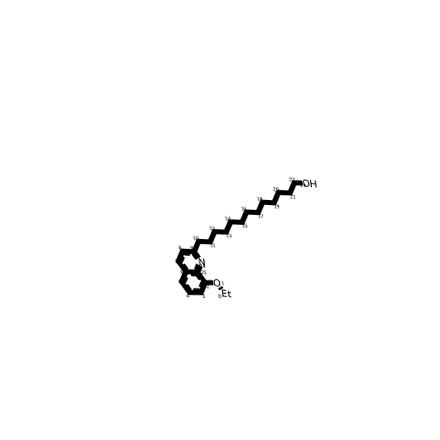 CCOc1cccc2ccc(CCCCCCCCCCCCCO)nc12